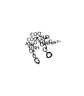 CC1(C)S[C@@H]2[C@H](NC(=O)COc3ccccc3)C(=O)N2[C@H]1C(=O)[O-].CC1(C)S[C@@H]2[C@H](NC(=O)COc3ccccc3)C(=O)N2[C@H]1C(=O)[O-].[Ca+2]